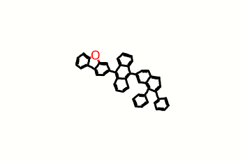 c1ccc(-c2ccc3ccc(-c4c5ccccc5c(-c5ccc6c(c5)oc5ccccc56)c5ccccc45)cc3c2-c2ccccc2)cc1